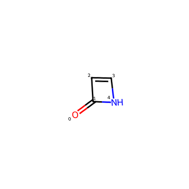 O=C1C=CN1